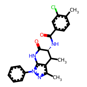 Cc1ccc(C(=O)N[C@H]2C(=O)Nc3c(c(C)nn3-c3ccccc3)C2C)cc1Cl